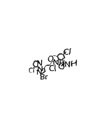 CNC(=O)c1cc(Cl)cc(C)c1NC(=O)C(Cl)=Cc1cc(Br)nn1-c1ncccc1Cl